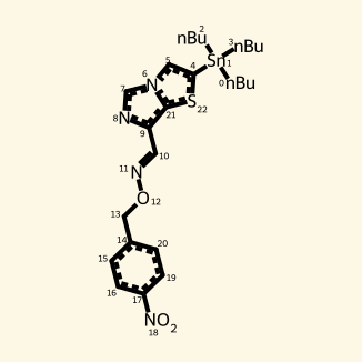 CCC[CH2][Sn]([CH2]CCC)([CH2]CCC)[c]1cn2cnc(C=NOCc3ccc([N+](=O)[O-])cc3)c2s1